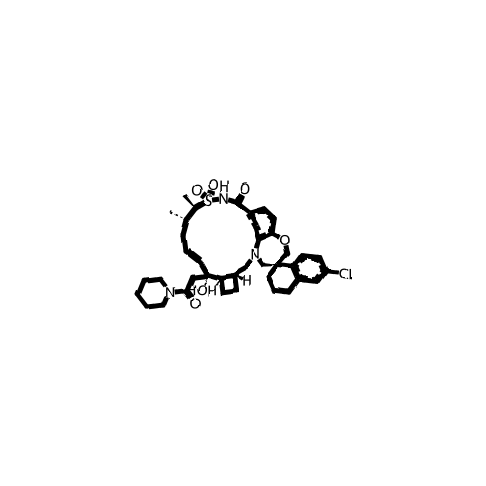 C[C@@H]1[C@@H](C)C/C=C/[C@](O)(CC(=O)N2CCCCC2)[C@@H]2CC[C@H]2CN2C[C@@]3(CCCc4cc(Cl)ccc43)COc3ccc(cc32)C(=O)NS1(=O)=O